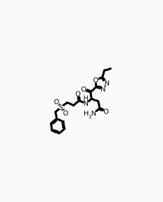 CCc1nnc(C(=O)C(CC(N)=O)NC(=O)[CH]CS(=O)(=O)Cc2ccccc2)o1